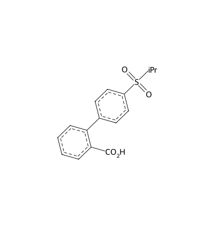 CC(C)S(=O)(=O)c1ccc(-c2ccccc2C(=O)O)cc1